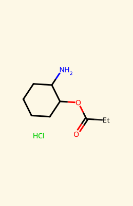 CCC(=O)OC1CCCCC1N.Cl